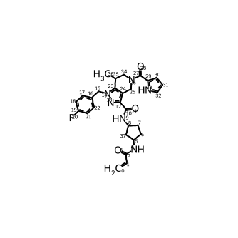 C=CC(=O)NC1CCC(NC(=O)c2nn(Cc3ccc(F)cc3)c3c2CN(C(=O)c2ccc[nH]2)CC3C)C1